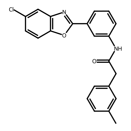 Cc1cccc(CC(=O)Nc2cccc(-c3nc4cc(Cl)ccc4o3)c2)c1